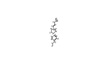 CCCc1ccc([C@H]2CC[C@H](C=CCCF)CC2)cc1